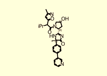 Cc1cc(C(C(=O)N2C[C@H](O)C[C@@H]2C2=NC(=O)[C@](C)(c3ccc(-c4cccnc4)cc3)N2)C(C)C)on1